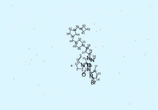 C=C[C@@H]1[C@@H](C)C[C@@H](C(=O)Nc2nc(Br)ccc2C)N1C(=O)CN(N=C)C(=C)/C=C(\C)C1CCC(CC2CCC(CC3CCC3)C2)CC1